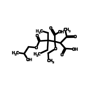 CCOC(C(=O)O)(C(C(C)=O)C(=O)O)C(CC)(CC)C(=O)OCC(C)O